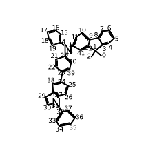 CC1(C)c2ccccc2-c2ccc(N(c3ccccc3)c3ccc(-c4ccc5c(ccn5-c5ccccc5)c4)cc3)cc21